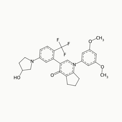 COc1cc(OC)cc(-n2cc(-c3cc(N4CCC(O)C4)ccc3C(F)(F)F)c(=O)c3c2CCC3)c1